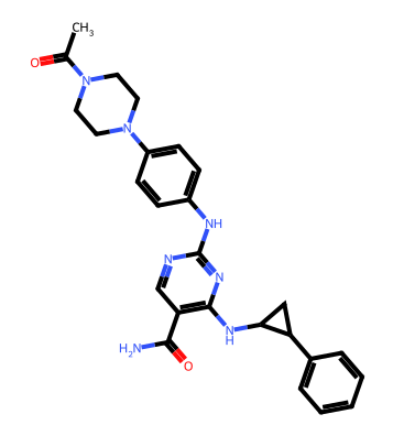 CC(=O)N1CCN(c2ccc(Nc3ncc(C(N)=O)c(NC4CC4c4ccccc4)n3)cc2)CC1